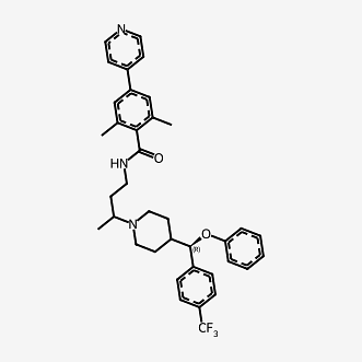 Cc1cc(-c2ccncc2)cc(C)c1C(=O)NCCC(C)N1CCC([C@@H](Oc2ccccc2)c2ccc(C(F)(F)F)cc2)CC1